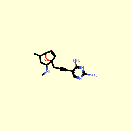 CNC1CC(C)C2C=CC1(CC#Cc1cnc(N)nc1N)O2